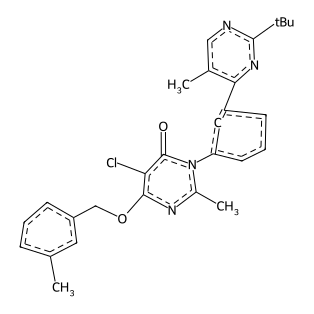 Cc1cccc(COc2nc(C)n(-c3cccc(-c4nc(C(C)(C)C)ncc4C)c3)c(=O)c2Cl)c1